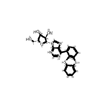 OC[C@H]1O[C@@H](n2cnc3c(-c4cccc5c4Sc4ccccc4S5)ncnc32)[C@H](O)[C@@H]1O